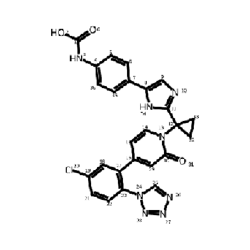 O=C(O)Nc1ccc(-c2cnc(C3(n4ccc(-c5cc(Cl)ccc5-n5cnnn5)cc4=O)CC3)[nH]2)cc1